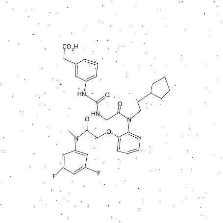 CN(C(=O)COc1ccccc1N(CCC1CCCC1)C(=O)CNC(=O)Nc1cccc(CC(=O)O)c1)c1cc(F)cc(F)c1